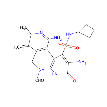 C=C1C(CNC=O)=C(c2c[nH]c(=O)c(N)c2S(=O)(=O)NC2CCC2)C(N)=NC1C